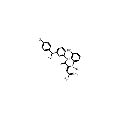 C=C(/C=C(/C(=O)Nc1cccc(C(O)c2ccc(Cl)cc2)c1)N(C)c1cccc(C#N)c1)C(F)(F)F